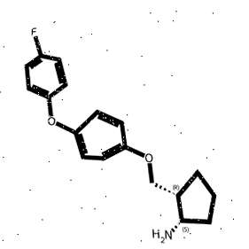 N[C@H]1CCC[C@H]1COc1ccc(Oc2ccc(F)cc2)cc1